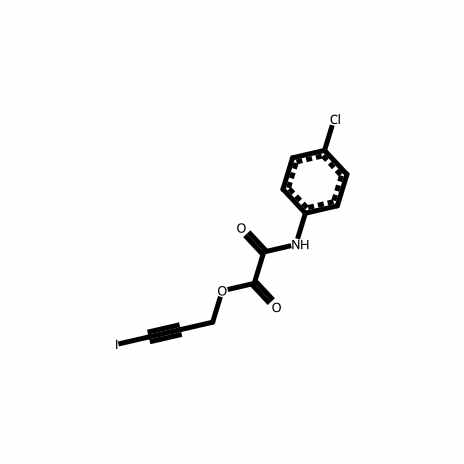 O=C(Nc1ccc(Cl)cc1)C(=O)OCC#CI